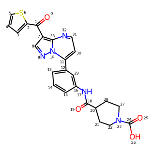 O=C(c1cccs1)c1cnn2c(-c3cccc(NC(=O)C4CCN(C(=O)O)CC4)c3)ccnc12